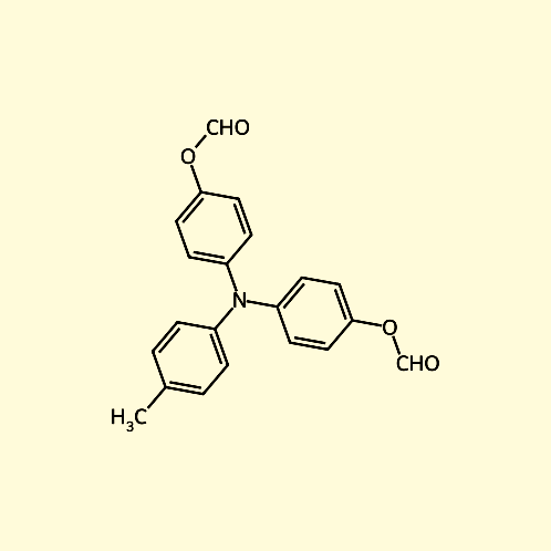 Cc1ccc(N(c2ccc(OC=O)cc2)c2ccc(OC=O)cc2)cc1